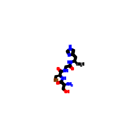 N[C@@H](CO)C(=O)N[C@@H](CS)C(=O)NCC(=O)N[C@@H](Cc1c[nH]cn1)C(=O)O